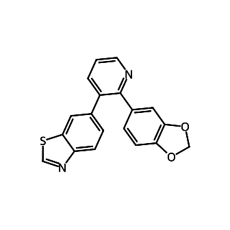 c1cnc(-c2ccc3c(c2)OCO3)c(-c2ccc3ncsc3c2)c1